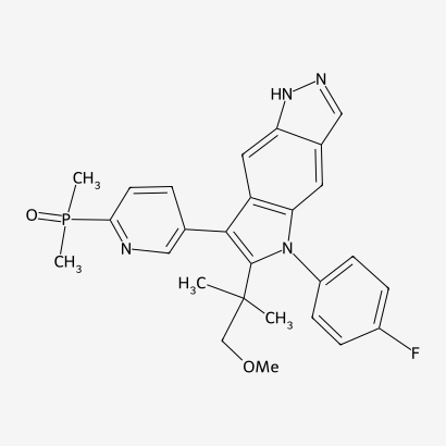 COCC(C)(C)c1c(-c2ccc(P(C)(C)=O)nc2)c2cc3[nH]ncc3cc2n1-c1ccc(F)cc1